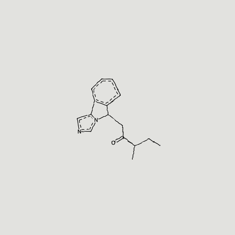 CCC(C)C(=O)CC1c2ccccc2-c2cncn21